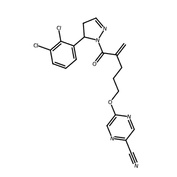 C=C(CCCOc1cnc(C#N)cn1)C(=O)N1N=CCC1c1cccc(Cl)c1Cl